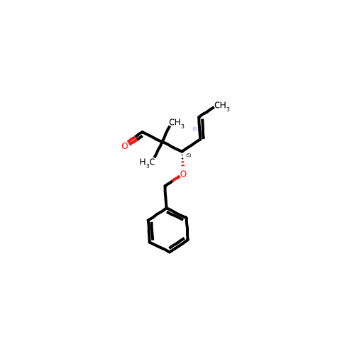 C/C=C/[C@H](OCc1ccccc1)C(C)(C)C=O